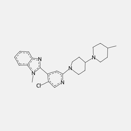 CC1CCN(C2CCN(c3cc(-c4nc5ccccc5n4C)c(Cl)cn3)CC2)CC1